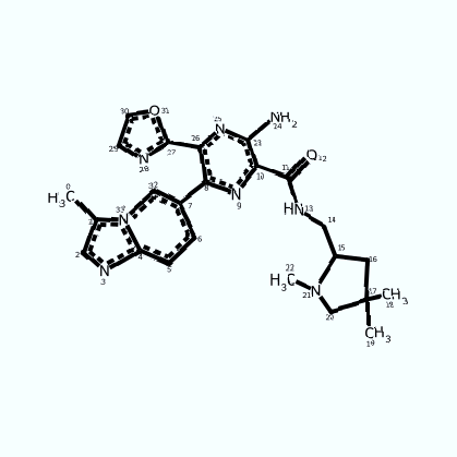 Cc1cnc2ccc(-c3nc(C(=O)NCC4CC(C)(C)CN4C)c(N)nc3-c3ncco3)cn12